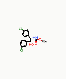 CC(C)(C)OC(=O)N[C@H](c1ccc(Cl)cc1)[C@H](O)c1cccc(Cl)c1